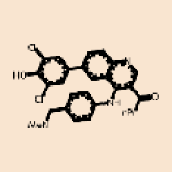 CCCC(=O)c1cnc2ccc(-c3cc(Cl)c(O)c(Cl)c3)cc2c1Nc1ccc(CNC)cc1